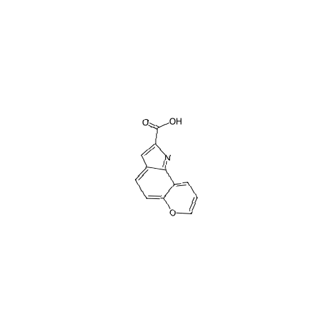 O=C(O)c1cc2ccc3occcc3c2n1